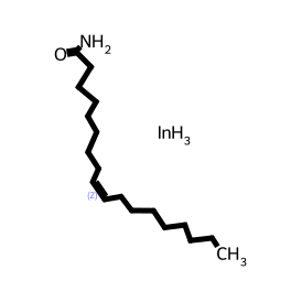 CCCCCCCC/C=C\CCCCCCCC(N)=O.[InH3]